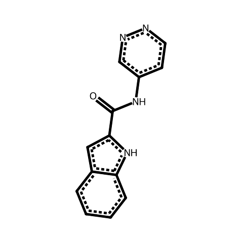 O=C(Nc1ccnnc1)c1cc2ccccc2[nH]1